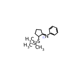 C[Si](C)(C)SC1CCC/C1=N\c1ccccc1